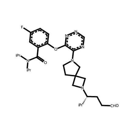 CC(C)[C@@H](CCC=O)N1CC2(CCN(c3ncnnc3Oc3ccc(F)cc3C(=O)N(C(C)C)C(C)C)C2)C1